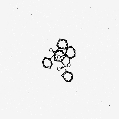 O=P(Oc1ccccc1OP(=O)(c1ccccc1)c1ccccc1)(c1ccccc1)c1ccccc1